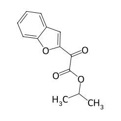 CC(C)OC(=O)C(=O)c1cc2ccccc2o1